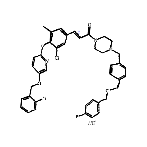 Cc1cc(/C=C/C(=O)N2CCN(Cc3ccc(COCc4ccc(F)cc4)cc3)CC2)cc(Cl)c1Oc1ccc(OCc2ccccc2Cl)cn1.Cl